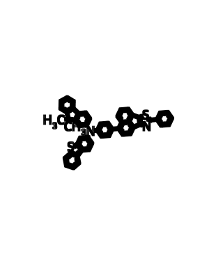 CC1(C)c2ccccc2-c2ccc(N(c3ccc(-c4ccc5c6c(cccc46)-c4sc(-c6ccccc6)nc4-5)cc3)c3ccc4c(c3)sc3ccccc34)cc21